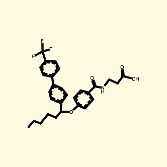 CCCCCC(Oc1ccc(C(=O)NCCC(=O)O)cc1)c1ccc(-c2ccc(C(F)(F)F)cc2)cc1